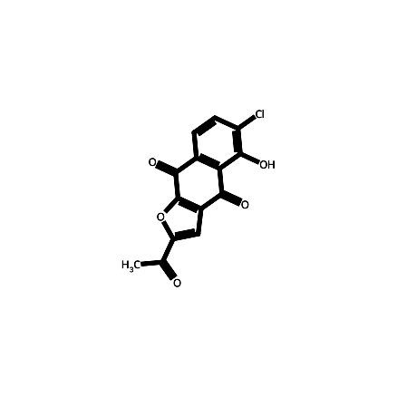 CC(=O)c1cc2c(o1)C(=O)c1ccc(Cl)c(O)c1C2=O